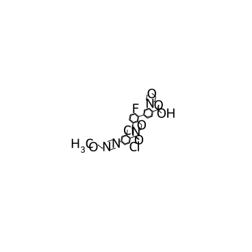 COCCN1CCN(c2cc(Cl)c(C(=O)N3COc4c(ccc(F)c4-c4ccc(C(=O)O)c(N5CCOCC5)c4)C3)c(Cl)c2)CC1